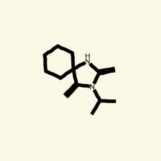 C=C1NC2(CCCCC2)C(=C)N1C(C)C